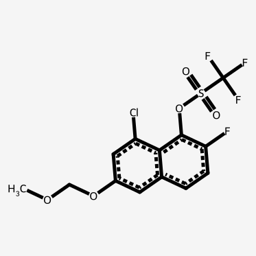 COCOc1cc(Cl)c2c(OS(=O)(=O)C(F)(F)F)c(F)ccc2c1